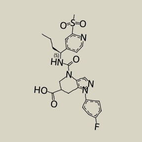 CCC[C@H](NC(=O)N1CC(C(=O)O)Cc2c1cnn2-c1ccc(F)cc1)c1ccnc(S(C)(=O)=O)c1